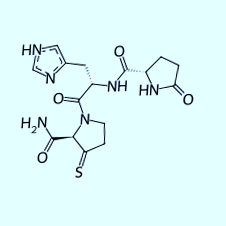 NC(=O)[C@@H]1C(=S)CCN1C(=O)[C@H](Cc1c[nH]cn1)NC(=O)[C@@H]1CCC(=O)N1